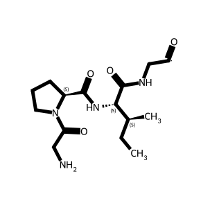 CC[C@H](C)[C@H](NC(=O)[C@@H]1CCCN1C(=O)CN)C(=O)NC[C]=O